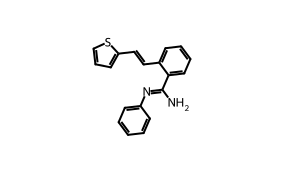 NC(=Nc1ccccc1)c1ccccc1C=Cc1cccs1